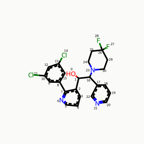 OC(c1cccnc1-c1cc(Cl)cc(Cl)c1)C(c1cccnc1)N1CCC(F)(F)CC1